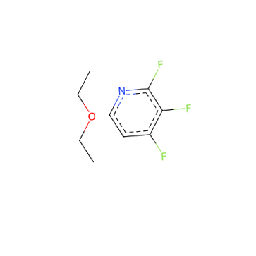 CCOCC.Fc1ccnc(F)c1F